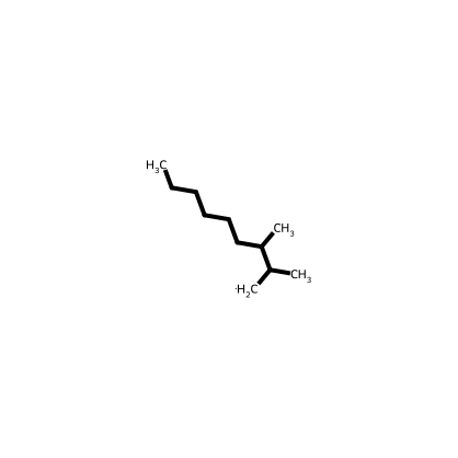 [CH2]C(C)C(C)CCCCCC